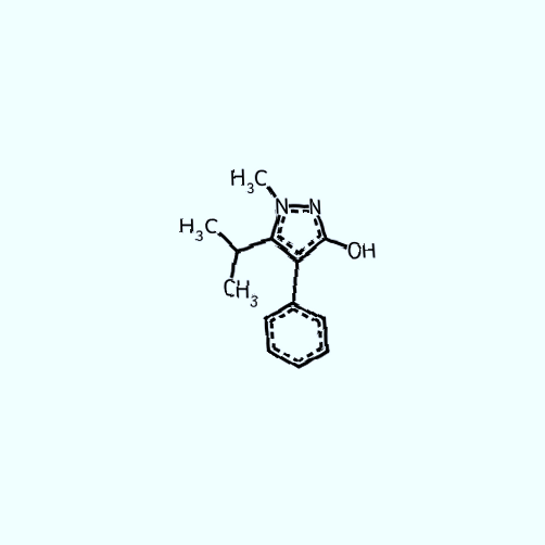 CC(C)c1c(-c2ccccc2)c(O)nn1C